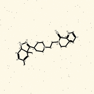 CC1=CC2(C)C(C3CCN(CCN4CCc5cccnc5C4=O)CC3)=NOC2C=C1